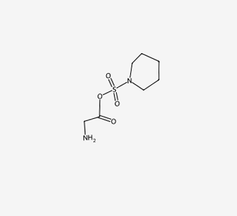 NCC(=O)OS(=O)(=O)N1CCCCC1